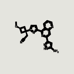 CO[C@H]1C[C@](CC#N)(n2ccc(-c3nc(-c4cc(N)[nH]n4)cc4ncccc34)n2)C1